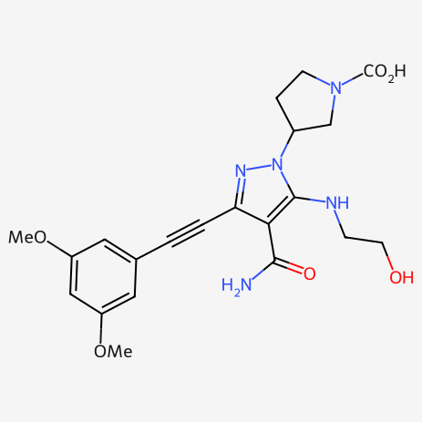 COc1cc(C#Cc2nn(C3CCN(C(=O)O)C3)c(NCCO)c2C(N)=O)cc(OC)c1